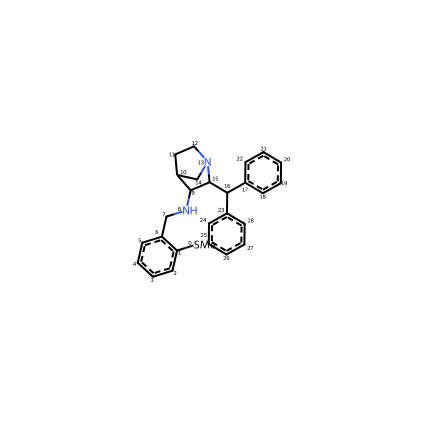 CSc1ccccc1CNC1C2CCN(C2)C1C(c1ccccc1)c1ccccc1